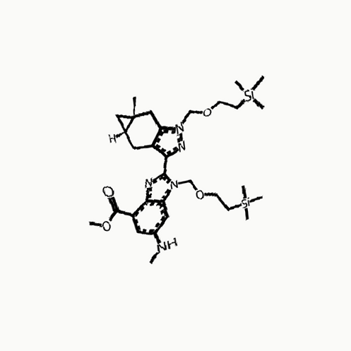 CNc1cc(C(=O)OC)c2nc(-c3nn(COCC[Si](C)(C)C)c4c3C[C@@H]3C[C@]3(C)C4)n(COCC[Si](C)(C)C)c2c1